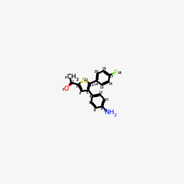 CC(=O)c1cc(-c2ccc(N)cc2)c(-c2ccc(F)cc2)s1